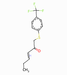 CC/C=C/C(=O)CSc1ccc(C(F)(F)F)cc1